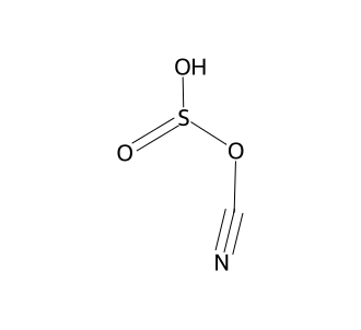 N#COS(=O)O